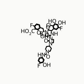 O=C(O)c1c(F)ccc2c1OB(O)[C@@H](NC(=O)[C@H](NC(=O)N1CCN(C3CCN(C(=O)Nc4ccc(F)c(O)c4)CC3)C1=O)c1cc(F)c(O)c(O)c1Cl)C2